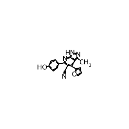 Cc1n[nH]c2nc(-c3ccc(O)cc3)c(C#N)c(-c3ccco3)c12